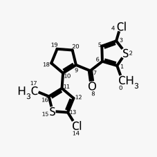 Cc1sc(Cl)cc1C(=O)C1=C(c2cc(Cl)sc2C)CCC1